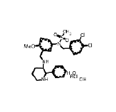 COc1ccc(N(Cc2ccc(Cl)c(Cl)c2)S(C)(=O)=O)cc1CNC1CCCNC1c1ccccc1.Cl.Cl.O